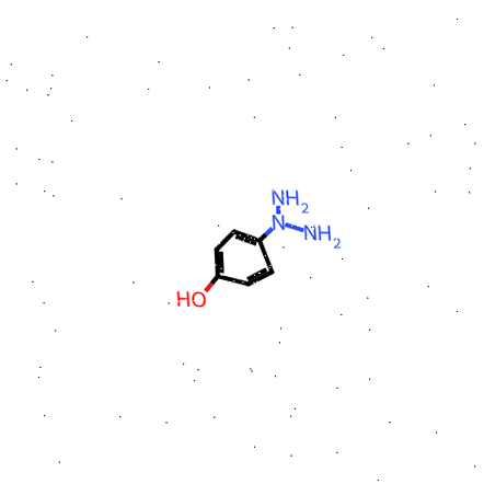 NN(N)c1ccc(O)cc1